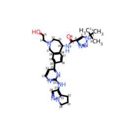 CC(C)(C)n1cc(C(=O)N[C@H]2CCN(CCO)Cc3cc(-c4ccnc(Nc5cnn6c5CCC6)n4)ccc32)nn1